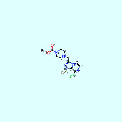 CC(C)(C)OC(=O)N1CCN(Cc2nc(Br)c3c(Cl)nccn23)CC1